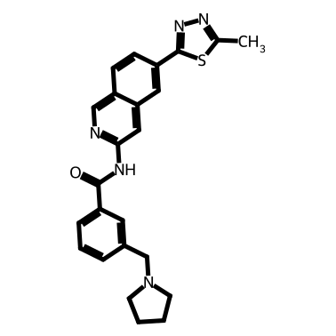 Cc1nnc(-c2ccc3cnc(NC(=O)c4cccc(CN5CCCC5)c4)cc3c2)s1